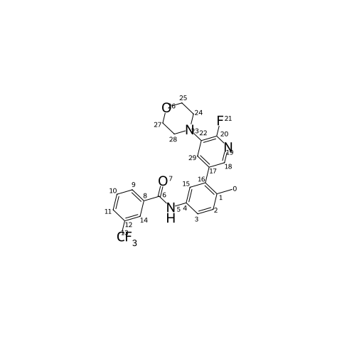 Cc1ccc(NC(=O)c2cccc(C(F)(F)F)c2)cc1-c1cnc(F)c(N2CCOCC2)c1